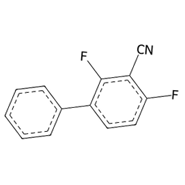 N#Cc1c(F)ccc(-c2ccccc2)c1F